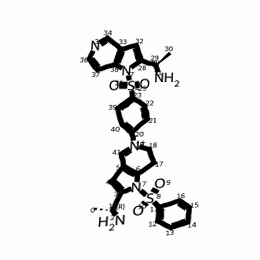 C[C@@H](N)c1cc2c(n1S(=O)(=O)c1ccccc1)CC[N+](c1ccc(S(=O)(=O)n3c([C@@H](C)N)cc4cnccc43)cc1)=C2